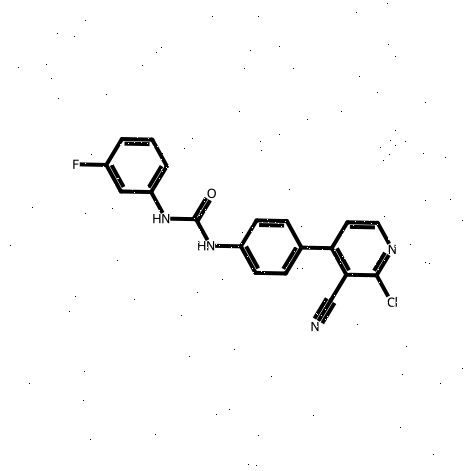 N#Cc1c(-c2ccc(NC(=O)Nc3cccc(F)c3)cc2)ccnc1Cl